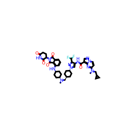 CN(CC1CC1)c1ccn2ncc(C(=O)Nc3cn([C@H]4CC[C@H](CN(C)[C@H]5CC[C@H](Nc6cccc7c6C(=O)N(C6CCC(=O)NC6=O)C7=O)CC5)CC4)nc3C(F)F)c2n1